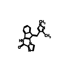 Cc1nn(C)cc1C=c1c2ccccc2c2[nH]c(=O)c3nccn3c12